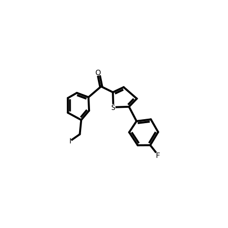 O=C(c1cccc(CI)c1)c1ccc(-c2ccc(F)cc2)s1